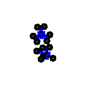 c1ccc(-c2nc(-c3ccccc3)nc(-n3c4cccc(-c5ccc6c(c5)c5ccccc5n6-c5nc(-n6c7ccccc7c7ccccc76)nc(-n6c7ccccc7c7ccccc76)n5)c4c4ccc5c6ccccc6n(-c6ccccc6)c5c43)n2)cc1